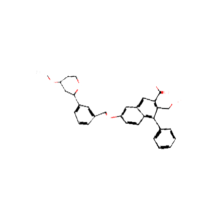 COC1CCOC(c2cccc(COc3ccc4c(-c5ccccc5)c(CO)c(C(=O)O)cc4c3)c2)C1